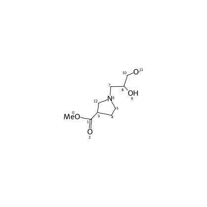 COC(=O)C1CCN(CC(O)C[O])C1